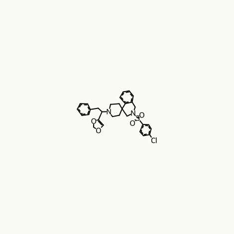 O=S(=O)(c1ccc(Cl)cc1)N1Cc2ccccc2C2(CCN(C(Cc3ccccc3)C3=COCO3)CC2)C1